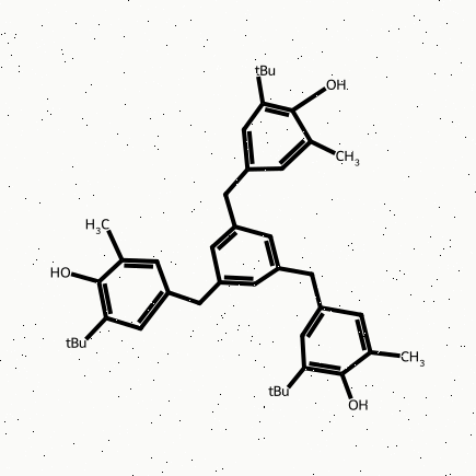 Cc1cc(Cc2cc(Cc3cc(C)c(O)c(C(C)(C)C)c3)cc(Cc3cc(C)c(O)c(C(C)(C)C)c3)c2)cc(C(C)(C)C)c1O